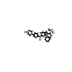 CS(=O)(=O)C1=NCC2(CCCCC2)n2c1cc1cnc(Nc3ccc(N4CCNCC4)cn3)nc12